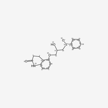 O=C1CCc2c(cccc2OCC(O)C[S+]([O-])c2ccccc2)N1